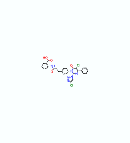 O=C(CCc1ccc(-n2c(-n3cc(Cl)nn3)nc(-c3ccccc3)c(Cl)c2=O)cc1)Nc1ccccc1C(=O)O